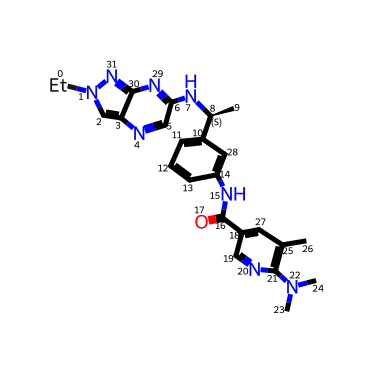 CCn1cc2ncc(N[C@@H](C)c3cccc(NC(=O)c4cnc(N(C)C)c(C)c4)c3)nc2n1